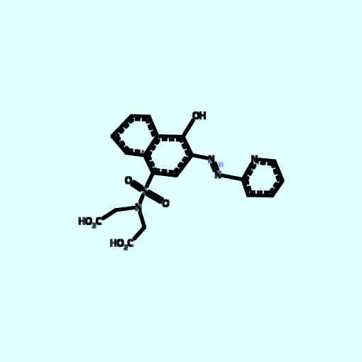 O=C(O)CN(CC(=O)O)S(=O)(=O)c1cc(/N=N/c2ccccn2)c(O)c2ccccc12